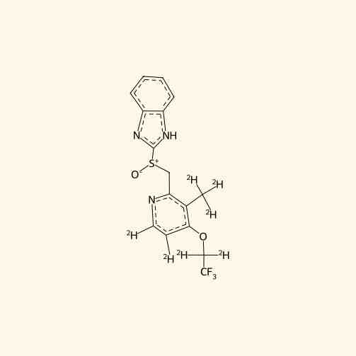 [2H]c1nc(C[S+]([O-])c2nc3ccccc3[nH]2)c(C([2H])([2H])[2H])c(OC([2H])([2H])C(F)(F)F)c1[2H]